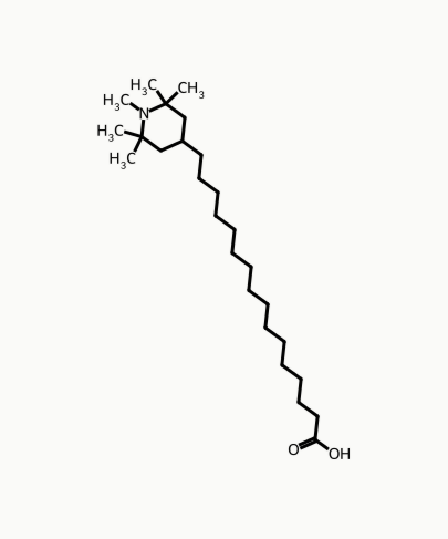 CN1C(C)(C)CC(CCCCCCCCCCCCCCCC(=O)O)CC1(C)C